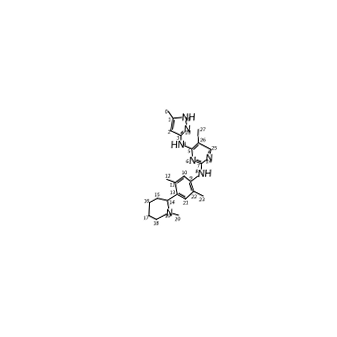 Cc1cc(Nc2nc(Nc3cc(C)c(C4CCCCN4C)cc3C)ncc2I)n[nH]1